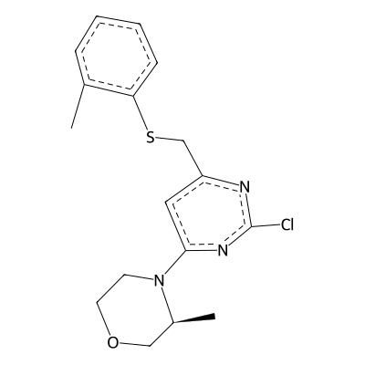 Cc1ccccc1SCc1cc(N2CCOC[C@@H]2C)nc(Cl)n1